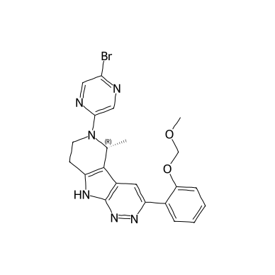 COCOc1ccccc1-c1cc2c3c([nH]c2nn1)CCN(c1cnc(Br)cn1)[C@@H]3C